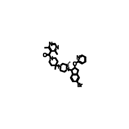 Cc1ncnc(C)c1C(=O)N1CCC(C)(N2CCN(C3c4ccc(Br)cc4CC3Oc3ccccn3)[C@@H](C)C2)CC1